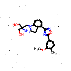 COc1cc(-c2nc(-c3cccc4c3CCN4CC(N)(CO)CO)no2)ccc1C